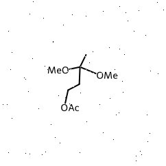 COC(C)(CCOC(C)=O)OC